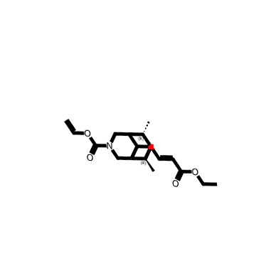 C=COC(=O)N1CC2C(CC=CC(=O)OCC)C(C1)[C@H](C)C[C@H]2C